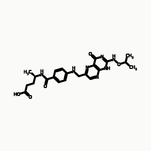 CC(C)ONc1nc(=O)c2nc(CNc3ccc(C(=O)N[C@H](C)CCC(=O)O)cc3)cnc2[nH]1